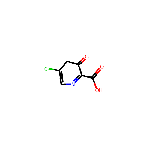 O=C(O)C1=NC=C(Cl)CC1=O